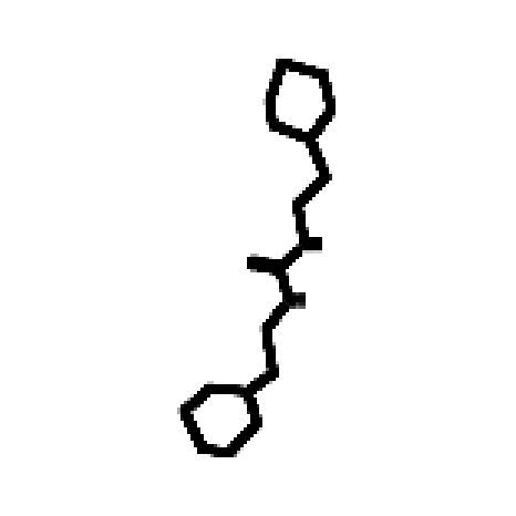 O=C(NCCC1CCCCC1)NCCC1CCCCC1